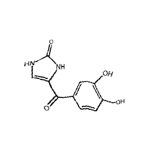 O=C(c1ccc(O)c(O)c1)c1c[nH]c(=O)[nH]1